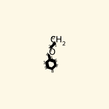 C=CCOCC1=CCCC=C1